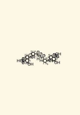 Cc1ccc(C(=O)NC(=O)NC(=O)c2ccc(C)c(Nc3cccc4c(S(=O)(=O)O)cc(O)cc34)c2)cc1Nc1cccc2c(S(=O)(=O)O)cc(O)cc12